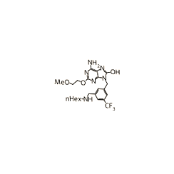 CCCCCCNCc1cc(Cn2c(O)nc3c(N)nc(OCCOC)nc32)cc(C(F)(F)F)c1